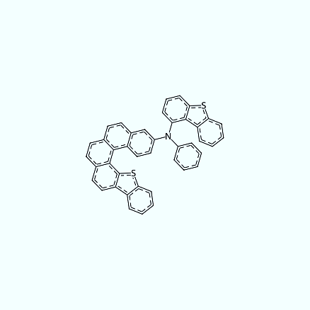 c1ccc(N(c2ccc3c(ccc4ccc5ccc6c7ccccc7sc6c5c43)c2)c2cccc3sc4ccccc4c23)cc1